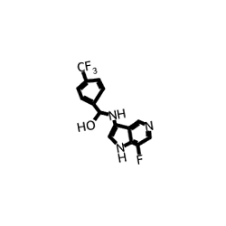 OC(Nc1c[nH]c2c(F)cncc12)c1ccc(C(F)(F)F)cc1